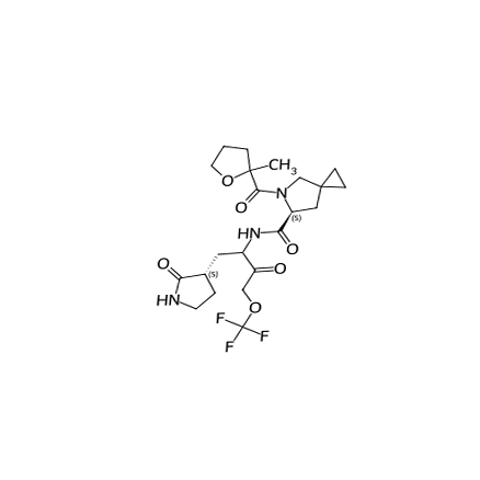 CC1(C(=O)N2CC3(CC3)C[C@H]2C(=O)NC(C[C@@H]2CCNC2=O)C(=O)COC(F)(F)F)CCCO1